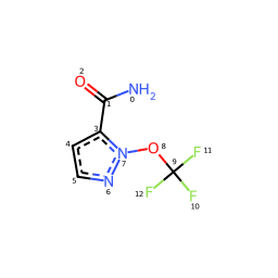 NC(=O)c1ccnn1OC(F)(F)F